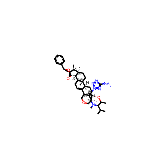 CC(C)C(C(C)O[C@H]1[C@H](n2nnc(N)n2)C[C@@]23COC[C@@]1(C)[C@@H]2CC[C@H]1C3=CC[C@@]2(C)[C@H](C(=O)OCc3ccccc3)[C@@](C)([C@H](C)C(C)C)CC[C@]12C)N(C)C